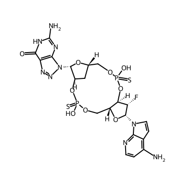 Nc1nc2c(nnn2[C@@H]2O[C@@H]3COP(O)(=S)O[C@H]4[C@H](F)[C@H](n5ccc6c(N)ccnc65)O[C@@H]4COP(O)(=S)O[C@@H]2C3)c(=O)[nH]1